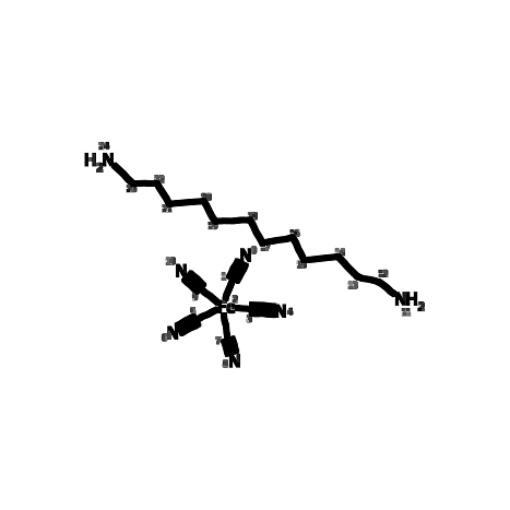 N#[C][Fe]([C]#N)([C]#N)([C]#N)[C]#N.NCCCCCCCCCCCCN